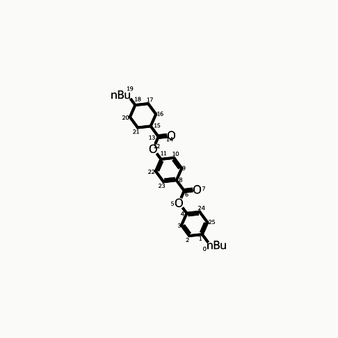 CCCCc1ccc(OC(=O)c2ccc(OC(=O)C3CCC(CCCC)CC3)cc2)cc1